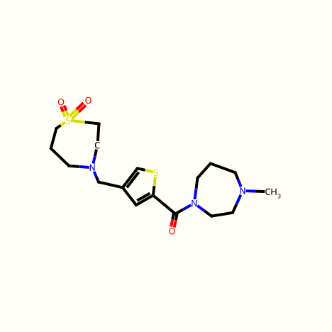 CN1CCCN(C(=O)c2cc(CN3CCCS(=O)(=O)CC3)cs2)CC1